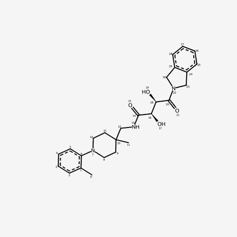 Cc1ccccc1N1CCC(C)(CNC(=O)[C@H](O)[C@@H](O)C(=O)N2Cc3ccccc3C2)CC1